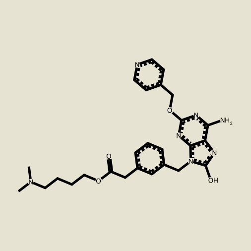 CN(C)CCCCOC(=O)Cc1cccc(Cn2c(O)nc3c(N)nc(OCc4ccncc4)nc32)c1